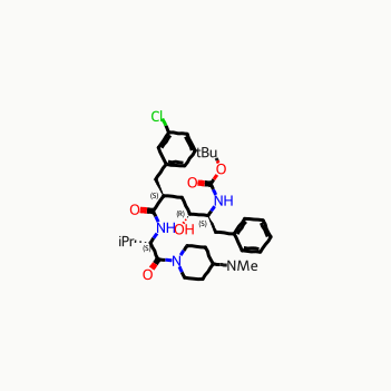 CNC1CCN(C(=O)[C@@H](NC(=O)[C@@H](Cc2cccc(Cl)c2)C[C@@H](O)[C@H](Cc2ccccc2)NC(=O)OC(C)(C)C)C(C)C)CC1